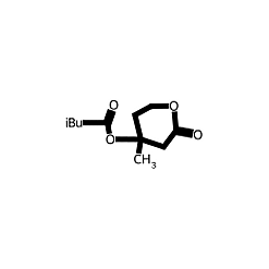 CCC(C)C(=O)OC1(C)CCOC(=O)C1